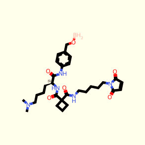 BOCc1ccc(NC(=O)[C@H](CCCCN(C)C)NC(=O)C2(C(=O)NCCCCCN3C(=O)C=CC3=O)CCC2)cc1